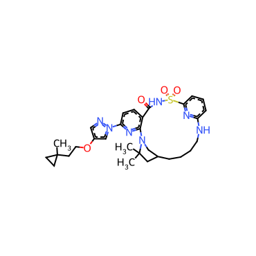 CC1(CCOc2cnn(-c3ccc4c(n3)N3CC(CCCCNc5cccc(n5)S(=O)(=O)NC4=O)CC3(C)C)c2)CC1